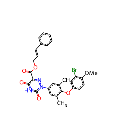 COc1ccc(Oc2c(C)cc(-n3nc(C(=O)OC/C=C/c4ccccc4)c(=O)[nH]c3=O)cc2C)cc1Br